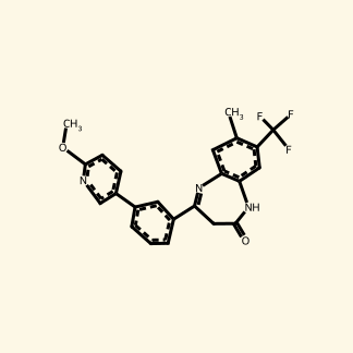 COc1ccc(-c2cccc(C3=Nc4cc(C)c(C(F)(F)F)cc4NC(=O)C3)c2)cn1